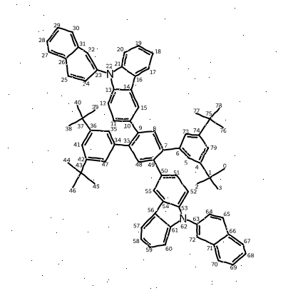 CC(C)(C)c1cc(-c2cc(-c3ccc4c(c3)c3ccccc3n4-c3ccc4ccccc4c3)c(-c3cc(C(C)(C)C)cc(C(C)(C)C)c3)cc2-c2ccc3c(c2)c2ccccc2n3-c2ccc3ccccc3c2)cc(C(C)(C)C)c1